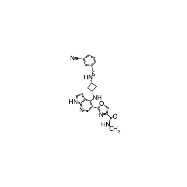 CNC(=O)c1coc(-c2cnc3[nH]ccc3c2N[C@H]2C[C@H](NSc3cccc(C#N)c3)C2)n1